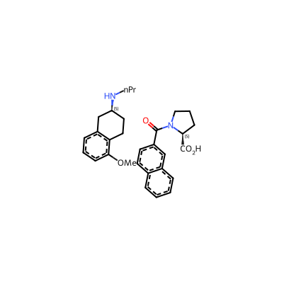 CCCN[C@H]1CCc2c(cccc2OC)C1.O=C(O)[C@@H]1CCCN1C(=O)c1ccc2ccccc2c1